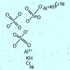 O=S(=O)([O-])[O-].O=S(=O)([O-])[O-].O=S(=O)([O-])[O-].[Al+3].[Al+3].[Cr].[Cr].[KH].[KH].[Ni].[Ni]